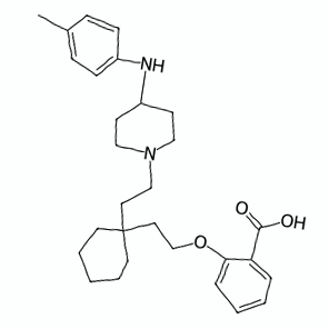 Cc1ccc(NC2CCN(CCC3(CCOc4ccccc4C(=O)O)CCCCC3)CC2)cc1